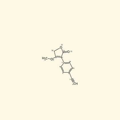 C#Cc1ccc(C2=C(OC)COC2=O)cc1